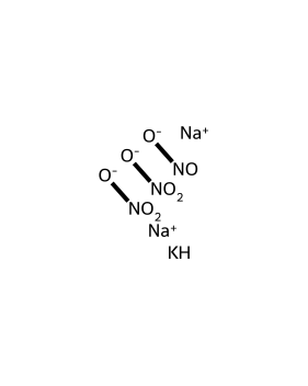 O=[N+]([O-])[O-].O=[N+]([O-])[O-].O=[NH+][O-].[KH].[Na+].[Na+]